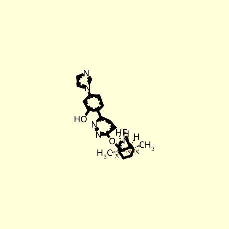 C[C@]12CC[C@](C)(NC1)[C@H](F)[C@@H]2Oc1ccc(-c2ccc(-n3ccnc3)cc2O)nn1